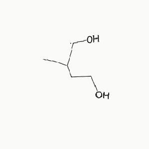 CC([CH]O)CCO